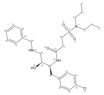 CCCN(CCC)S(=O)(=O)CCC(=O)N[C@@H](Cc1ccc(Cl)cc1)[C@@H](O)CNCc1ccccc1